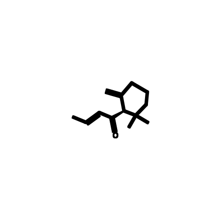 C=C1CCCC(C)(C)[C@H]1C(=O)/C=C/C